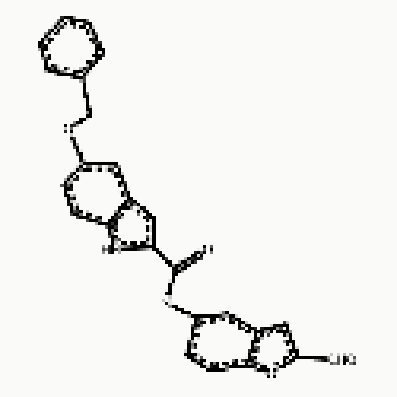 O=Cc1cc2cc(NC(=O)c3cc4cc(OCc5ccccc5)ccc4[nH]3)ccc2o1